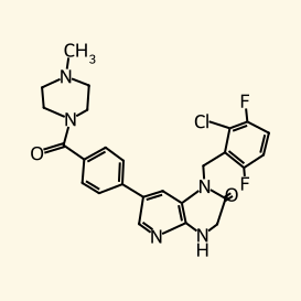 CN1CCN(C(=O)c2ccc(-c3cnc4c(c3)N(Cc3c(F)ccc(F)c3Cl)C(=O)CN4)cc2)CC1